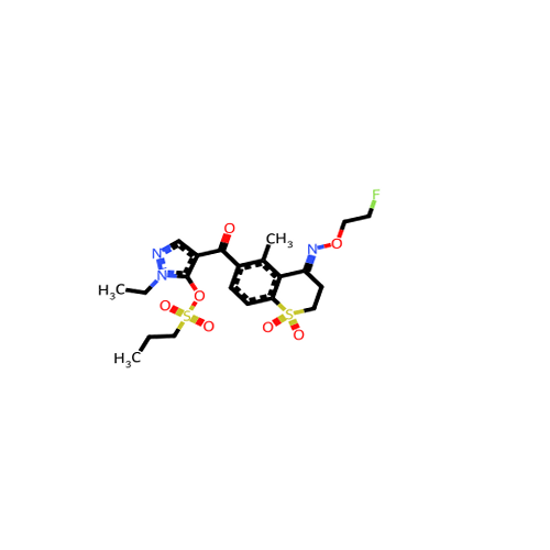 CCCS(=O)(=O)Oc1c(C(=O)c2ccc3c(c2C)/C(=N/OCCF)CCS3(=O)=O)cnn1CC